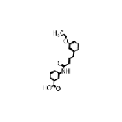 CCOc1cccc(CC=CC(=O)Nc2cccc(C(=O)O)c2)c1